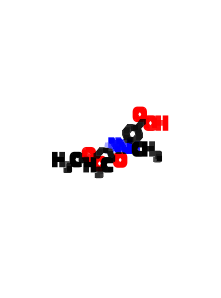 CCOC(=O)C/C(=N/Nc1ccc(C(=O)O)cc1C)C(C)=O